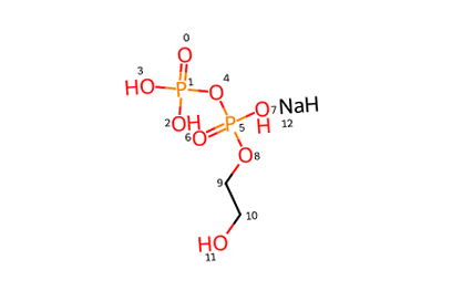 O=P(O)(O)OP(=O)(O)OCCO.[NaH]